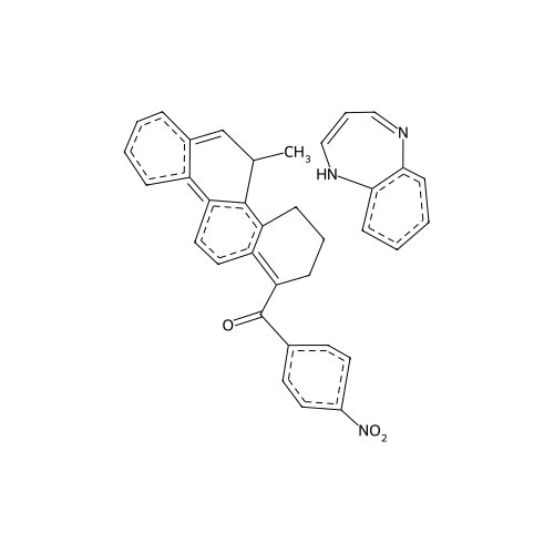 C1=CNc2ccccc2N=C1.CC1C=c2ccccc2=c2ccc3c(c21)CCCC=3C(=O)c1ccc([N+](=O)[O-])cc1